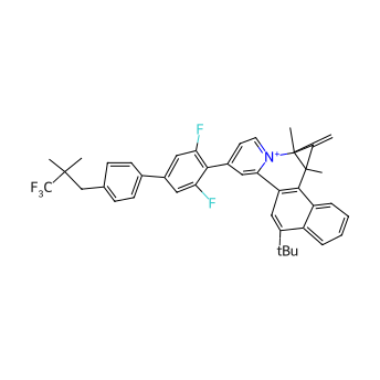 C=C1C2(C)c3c(cc(C(C)(C)C)c4ccccc34)-c3cc(-c4c(F)cc(-c5ccc(CC(C)(C)C(F)(F)F)cc5)cc4F)cc[n+]3C12C